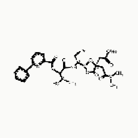 COC(=O)C[C@]1(CC(=O)N(C)C)OB([C@H](CC(C)C)NC(=O)C(NC(=O)c2cccc(-c3ccccc3)n2)[C@@H](C)O)OC1=O